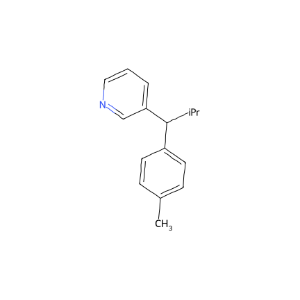 Cc1ccc(C(c2cccnc2)C(C)C)cc1